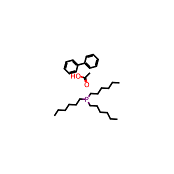 CC(=O)O.CCCCCCP(CCCCCC)CCCCCC.c1ccc(-c2ccccc2)cc1